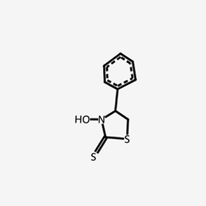 ON1C(=S)SCC1c1ccccc1